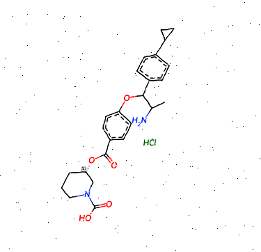 CC(N)C(Oc1ccc(C(=O)O[C@H]2CCCN(C(=O)O)C2)cc1)c1ccc(C2CC2)cc1.Cl